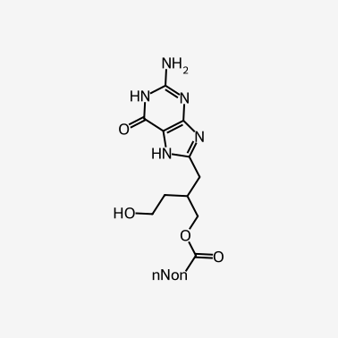 CCCCCCCCCC(=O)OCC(CCO)Cc1nc2nc(N)[nH]c(=O)c2[nH]1